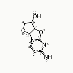 N=c1ccn2c(n1)OC1C(O)COC12